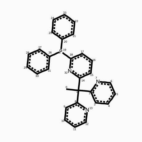 CC(c1ccccn1)(c1ccccn1)c1cccc(P(c2ccccc2)c2ccccc2)n1